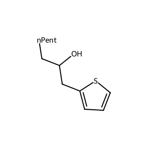 CCCCCCC(O)Cc1cccs1